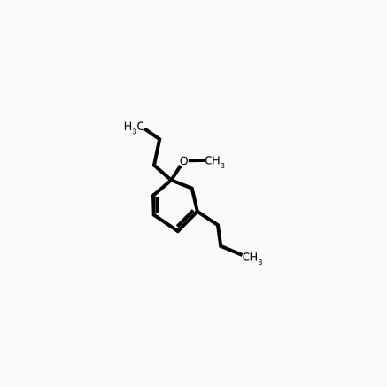 CCCC1=CC=CC(CCC)(OC)C1